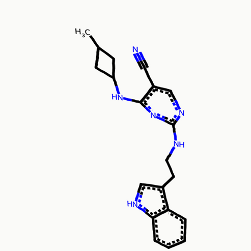 CC1CC(Nc2nc(NCCc3c[nH]c4ccccc34)ncc2C#N)C1